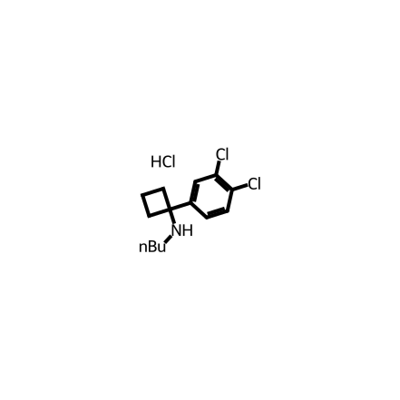 CCCCNC1(c2ccc(Cl)c(Cl)c2)CCC1.Cl